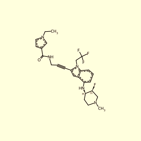 CCn1ccc(C(=O)NCC#Cc2cc3c(N[C@@H]4CCN(C)C[C@@H]4F)cccc3n2CC(F)(F)F)c1